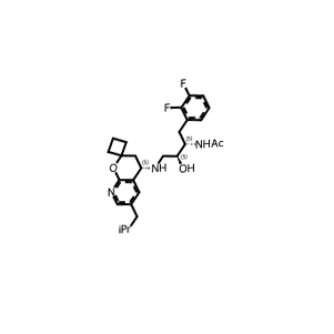 CC(=O)N[C@@H](Cc1cccc(F)c1F)[C@@H](O)CN[C@H]1CC2(CCC2)Oc2ncc(CC(C)C)cc21